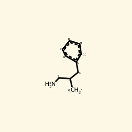 [CH2]C(CN)Cc1ccccc1